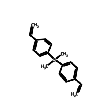 C=Cc1ccc([Si](C)(C)c2ccc(C=C)cc2)cc1